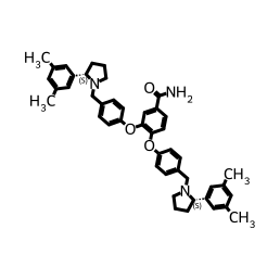 Cc1cc(C)cc([C@@H]2CCCN2Cc2ccc(Oc3ccc(C(N)=O)cc3Oc3ccc(CN4CCC[C@H]4c4cc(C)cc(C)c4)cc3)cc2)c1